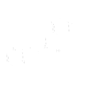 O=CN(CCc1ncccn1)Cc1ccc(C(F)(F)F)cn1